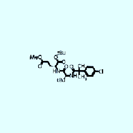 COC(=O)CC[C@@H](NC(=O)[C@@H](NC(=O)C(C)(C)c1ccc(Cl)cc1)C(C)(C)C)C(=O)OC(C)(C)C